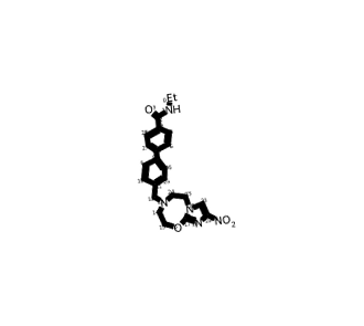 CCNC(=O)c1ccc(-c2ccc(CN3CCOc4nc([N+](=O)[O-])cn4CC3)cc2)cc1